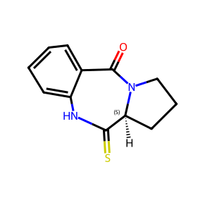 O=C1c2ccccc2NC(=S)[C@@H]2CCCN12